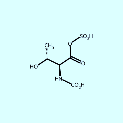 C[C@@H](O)[C@H](NC(=O)O)C(=O)OS(=O)(=O)O